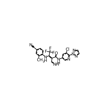 Cc1cc(C#N)ccc1N/C(=C(\C=N)C(=O)Nc1cnc(-n2nccn2)c(Cl)c1)C(F)(F)F